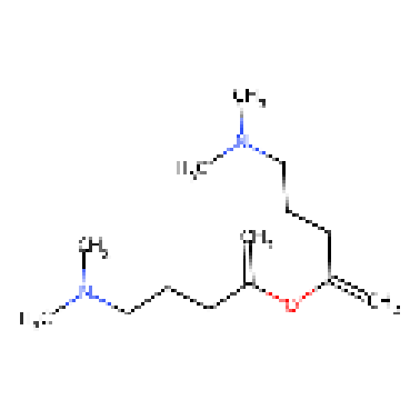 C=C(CCCN(C)C)OC(=C)CCCN(C)C